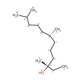 CC[C@](C)(O)CCC[C@@H](C)CCCC(C)C